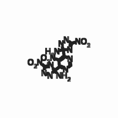 NC1(c2ncnc(C3(N)N=NC([N+](=O)[O-])=N3)c2[N+](=O)[O-])N=NC([N+](=O)[O-])=N1